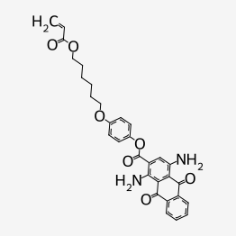 C=CC(=O)OCCCCCCOc1ccc(OC(=O)c2cc(N)c3c(c2N)C(=O)c2ccccc2C3=O)cc1